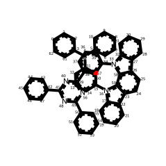 c1ccc(B(c2ccccc2)c2cccc(-n3c4ccccc4c4ccc5c6ccccc6n(-c6cccc(-c7nc(-c8ccccc8)nc(-c8ccccc8)n7)c6)c5c43)c2)cc1